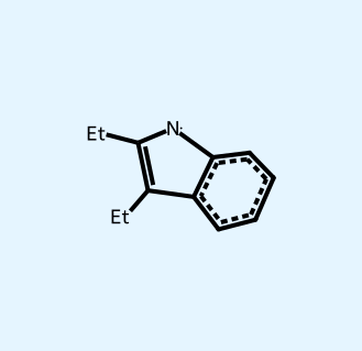 CCC1=C(CC)c2ccccc2[N]1